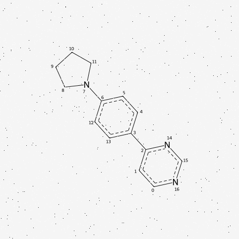 c1cc(-c2ccc(N3CCCC3)cc2)ncn1